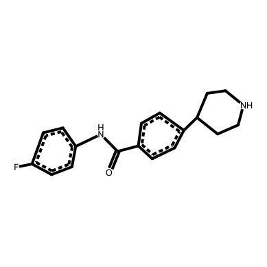 O=C(Nc1ccc(F)cc1)c1ccc(C2CCNCC2)cc1